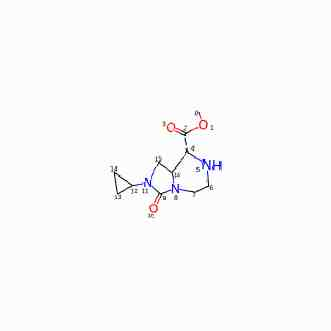 COC(=O)C1NCCN2C(=O)N(C3CC3)CC12